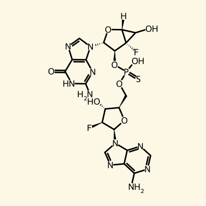 Nc1nc2c(ncn2[C@@H]2O[C@@H]3C(O)[C@@]3(F)[C@H]2OP(O)(=S)OC[C@H]2O[C@@H](n3cnc4c(N)ncnc43)[C@@H](F)[C@@H]2O)c(=O)[nH]1